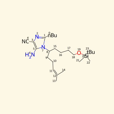 CCCCc1nc(C#N)c(N)n1C(CCC=C(C)C)CCCCO[Si](C)(C)C(C)(C)C